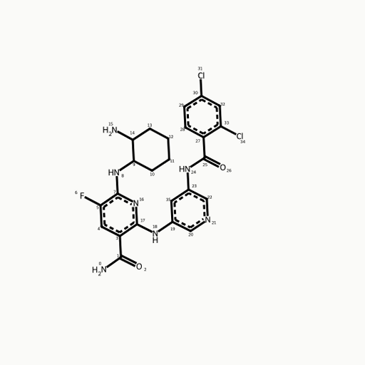 NC(=O)c1cc(F)c(NC2CCCCC2N)nc1Nc1cncc(NC(=O)c2ccc(Cl)cc2Cl)c1